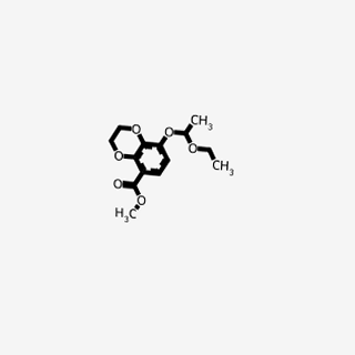 CCOC(C)Oc1ccc(C(=O)OC)c2c1OCCO2